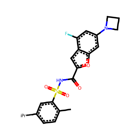 Cc1ccc(C(C)C)cc1S(=O)(=O)NC(=O)c1cc2c(F)cc(N3CCC3)cc2o1